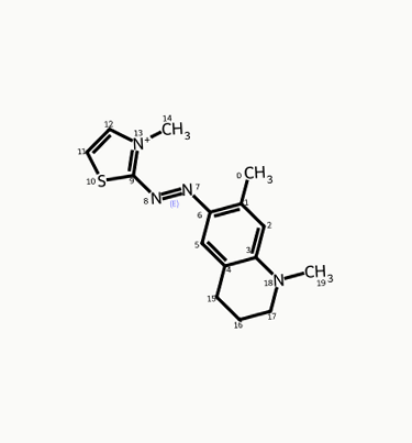 Cc1cc2c(cc1/N=N/c1scc[n+]1C)CCCN2C